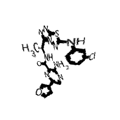 C[C@@H](NC(=O)c1nc(-c2ccoc2)cnc1N)c1nnc2sc(Nc3cccc(Cl)c3)nn12